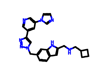 c1cn(-c2cncc(-c3cn(Cc4ccc5cc(CNCC6CCC6)[nH]c5c4)nn3)c2)cn1